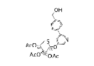 CC(=O)O[C@@H]1[C@@H](OC(C)=O)[C@H](OC(C)=O)CS[C@H]1Oc1cncc(-c2ccc(CO)cc2)c1